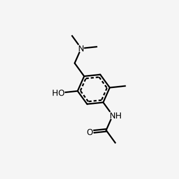 CC(=O)Nc1cc(O)c(CN(C)C)cc1C